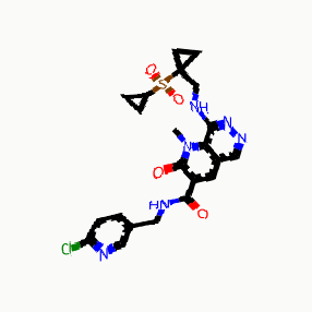 Cn1c(=O)c(C(=O)NCc2ccc(Cl)nc2)cc2cnnc(NCC3(S(=O)(=O)C4CC4)CC3)c21